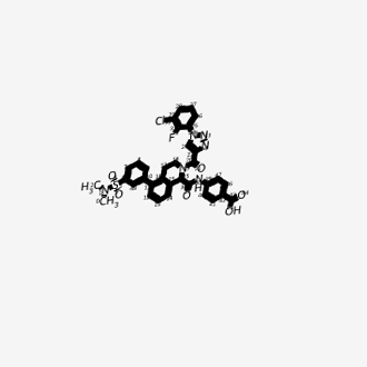 CN(C)S(=O)(=O)c1cccc(-c2cccc3c2CCN(C(=O)c2cn(-c4cccc(Cl)c4F)nn2)C3C(=O)Nc2ccc(C(=O)O)cc2)c1